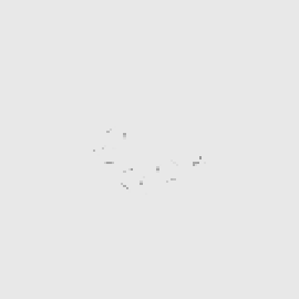 CC(C)(O)c1ccn2c(-c3ccc(F)c(-c4ccc(C#N)cc4)c3)cnc2c1F